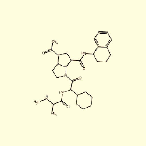 CNC(C)C(=O)NC(C(=O)N1CCC2C1C(C(=O)NC1CCCc3ccccc31)CN2C(C)=O)C1CCCCC1